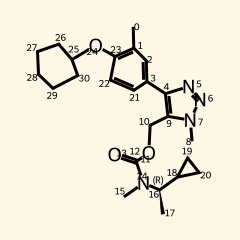 Cc1cc(-c2nnn(C)c2COC(=O)N(C)[C@H](C)C2CC2)ccc1OC1CCCCC1